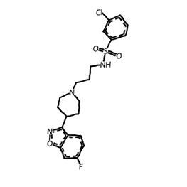 O=S(=O)(NCCCN1CCC(c2noc3cc(F)ccc23)CC1)c1cccc(Cl)c1